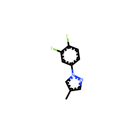 Cc1cnn(-c2ccc(F)c(F)c2)c1